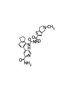 CN1CCc2sc(S(=O)(=O)NC(=O)Nc3c(-c4ccnc(C(N)=O)c4)ccc4c3CCC4)cc2C1